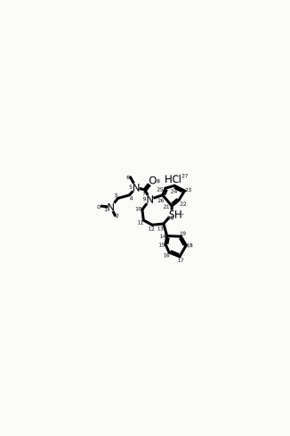 CN(C)CCN(C)C(=O)N1CCCC(c2ccccc2)[SH]c2ccccc21.Cl